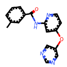 Cc1cccc(C(=O)Nc2cc(Oc3cncnc3)ccn2)c1